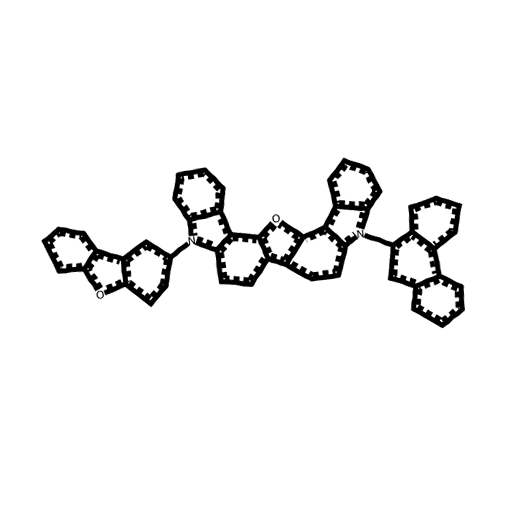 c1ccc2c(c1)cc(-n1c3ccccc3c3c4oc5c(ccc6c5c5ccccc5n6-c5ccc6oc7ccccc7c6c5)c4ccc31)c1ccccc12